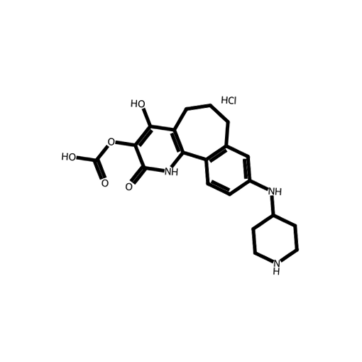 Cl.O=C(O)Oc1c(O)c2c([nH]c1=O)-c1ccc(NC3CCNCC3)cc1CCC2